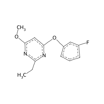 CCc1nc(OC)cc(Oc2cccc(F)c2)n1